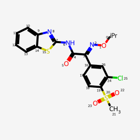 CC(C)ON=C(C(=O)Nc1nc2ccccc2s1)c1ccc(S(C)(=O)=O)c(Cl)c1